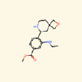 CCNc1cc(C(=O)OC)ccc1C1CC2(CCN1)COC2